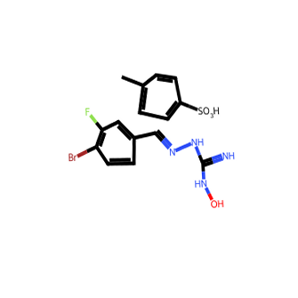 Cc1ccc(S(=O)(=O)O)cc1.N=C(NO)N/N=C/c1ccc(Br)c(F)c1